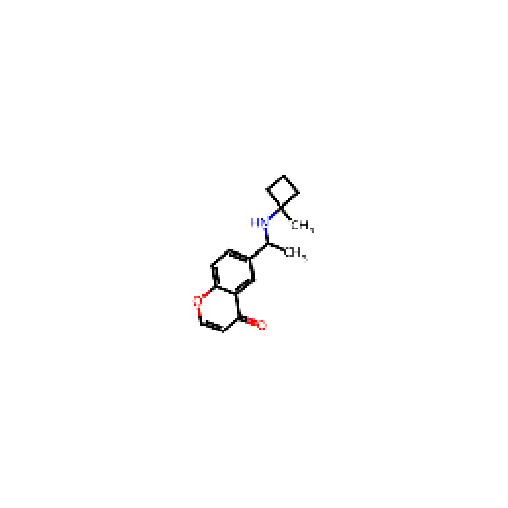 CC(NC1(C)CCC1)c1ccc2occc(=O)c2c1